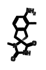 Cc1c(N)ccc2c1C[C@]1(C2)C(=O)NC(=O)N1C